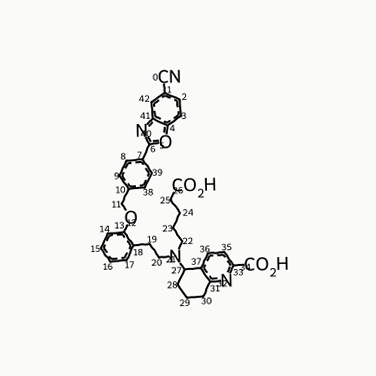 N#Cc1ccc2oc(-c3ccc(COc4ccccc4CCN(CCCCC(=O)O)C4CCCc5nc(C(=O)O)ccc54)cc3)nc2c1